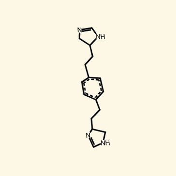 C1=NCC(CCc2ccc(CCC3CNC=N3)cc2)N1